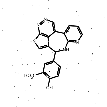 O=C(O)c1cc(C2Nc3ncccc3-c3cnnc4[nH]cc2c34)ccc1O